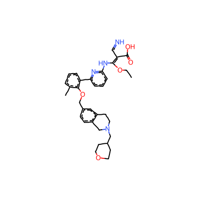 CCO/C(Nc1cccc(-c2cccc(C)c2OCc2ccc3c(c2)CCN(CC2CCOCC2)C3)n1)=C(/C=N)C(=O)O